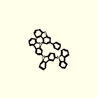 c1ccc(-c2cc(-n3c4ccccc4c4ccc(-n5c6ccccc6c6cc(-n7c8ccccc8c8ccccc87)ccc65)cc43)c3c(c2)sc2ccccc23)cc1